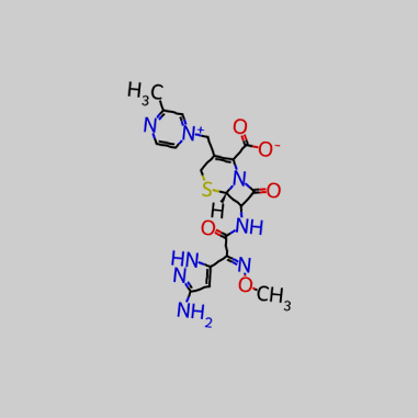 CON=C(C(=O)NC1C(=O)N2C(C(=O)[O-])=C(C[n+]3ccnc(C)c3)CS[C@@H]12)c1cc(N)n[nH]1